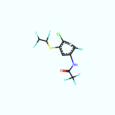 O=C(Nc1cc(SC(F)C(F)F)c(Cl)cc1F)C(F)(F)F